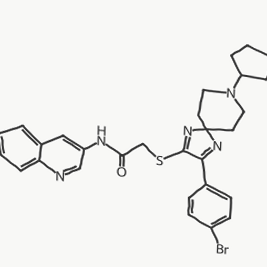 O=C(CSC1=NC2(CCN(C3CCCC3)CC2)N=C1c1ccc(Br)cc1)Nc1cnc2ccccc2c1